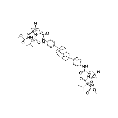 COC(=O)N[C@H](C(=O)N1[C@@H]2C[C@@H]2C[C@H]1C(=O)Nc1ccc(C23CC4C5CC6(c7ccc(NC(=O)[C@@H]8C[C@H]9C[C@H]9N8C(=O)[C@@H](NC(=O)OC)C(C)C)cc7)CC4C(C2)C(C6)C5C3)cc1)C(C)C